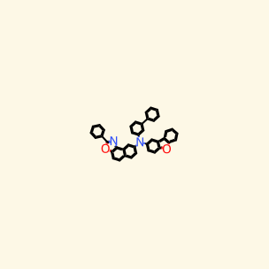 c1ccc(-c2cccc(N(c3ccc4oc5ccccc5c4c3)c3ccc4ccc5oc(-c6ccccc6)nc5c4c3)c2)cc1